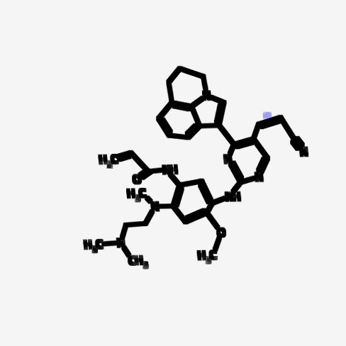 C=CC(=O)Nc1cc(Nc2ncc(/C=C\C#N)c(-c3cn4c5c(cccc35)CCC4)n2)c(OC)cc1N(C)CCN(C)C